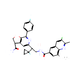 COc1cc(C(=O)NC[C@](O)(c2cc3c(c(-c4ccc(F)cc4)n2)OC[C@]3(C)C(N)=O)C2(F)CC2)cc2cc(Cl)c(C)nc12